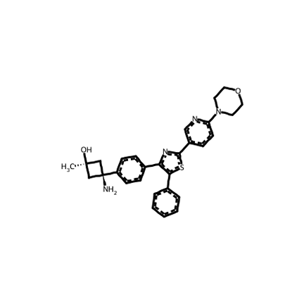 C[C@]1(O)C[C@](N)(c2ccc(-c3nc(-c4ccc(N5CCOCC5)nc4)sc3-c3ccccc3)cc2)C1